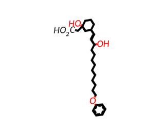 O=C(O)CC1(O)CCCC(C=CC(O)CCCCCCCCCCOc2ccccc2)C1